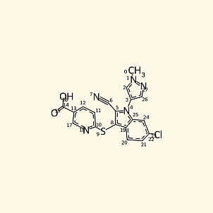 Cn1cc(-n2c(C#N)c(Sc3ccc(C(=O)O)cn3)c3ccc(Cl)cc32)cn1